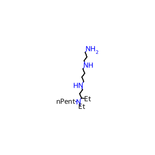 CCCCCN(CC)C(CC)CCNCCCCNCCCN